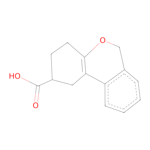 O=C(O)C1CCC2=C(C1)c1ccccc1CO2